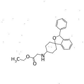 CCOC(=O)CNC1CCC2(CC1)OC(c1ccccc1)c1ccccc12